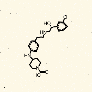 O=C(O)N1CCC(Nc2ccc(CCNC[C@@H](O)c3cccc(Cl)c3)cc2)CC1